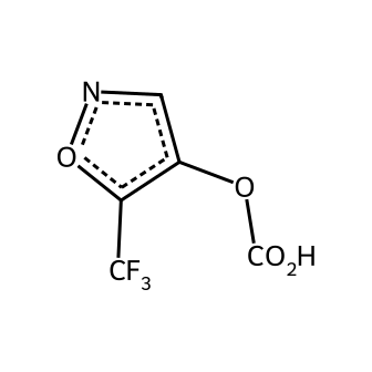 O=C(O)Oc1cnoc1C(F)(F)F